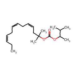 CC/C=C\C/C=C\C/C=C\CC(C)(C)OC(=O)OC(C)C(C)C